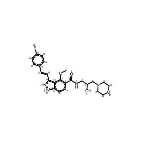 COc1c(C(=O)NCC(O)CN2CCOCC2)ccc2[nH]nc(/C=C/c3ccc(F)cc3)c12